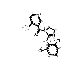 Cc1ccncc1C(=O)N1CCN=C1Nc1c(Cl)cccc1Cl